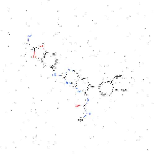 COc1ccc(-c2cc3cnc(Nc4ccc5c(c4)OC(CN)O5)nc3nc2NC(=O)NC(C)(C)C)cc1OC